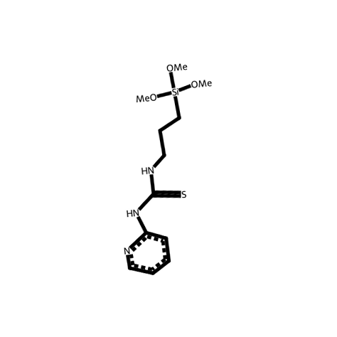 CO[Si](CCCNC(=S)Nc1ccccn1)(OC)OC